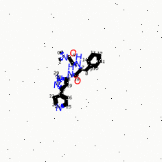 CN(C)C(=O)CN[C@@H](Cc1ccccc1)C(=O)Nc1cc(-c2ccncc2)nn1C